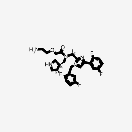 C[C@H](c1nc(-c2cc(F)ccc2F)cn1Cc1cccc(F)c1)N(C[C@@H]1CNC[C@@H]1F)C(=O)COCCN